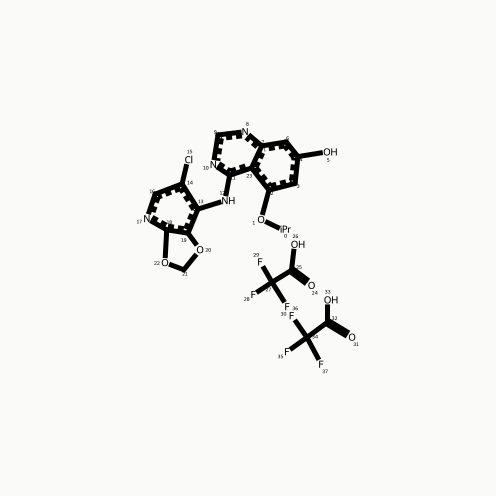 CC(C)Oc1cc(O)cc2ncnc(Nc3c(Cl)cnc4c3OCO4)c12.O=C(O)C(F)(F)F.O=C(O)C(F)(F)F